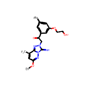 CCOc1cc(C(F)(F)F)c2nn(CC(=O)c3cc(OCCO)cc(C(C)(C)C)c3)c(=N)n2n1